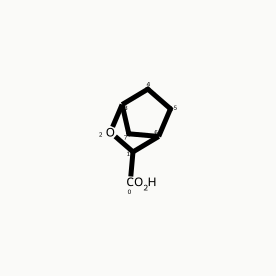 O=C(O)C1OC2CCC1C2